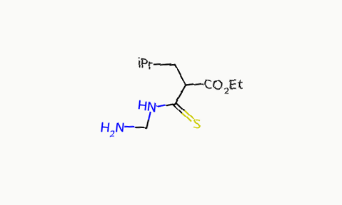 CCOC(=O)C(CC(C)C)C(=S)NCN